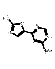 CNc1cc(-c2cnc(C(F)(F)F)s2)ncn1